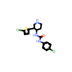 O=C(Nc1ccc(Cl)cc1)NC1CCNCC1c1ccc(Cl)s1